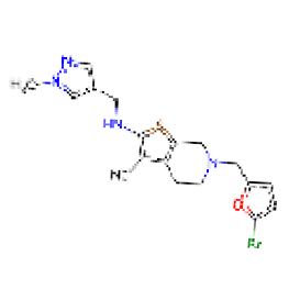 Cn1cc(CNc2sc3c(c2C#N)CCN(Cc2ccc(Br)o2)C3)cn1